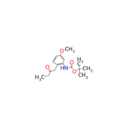 CCC(=O)Cc1ccc(OC)cc1NC(=O)OC(C)(C)C